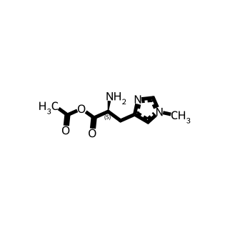 CC(=O)OC(=O)[C@@H](N)Cc1cn(C)cn1